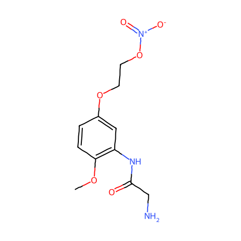 COc1ccc(OCCO[N+](=O)[O-])cc1NC(=O)CN